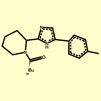 CC[C@@H](C)C(=O)N1CCCCC1c1ncc(-c2ccc(C)cc2)[nH]1